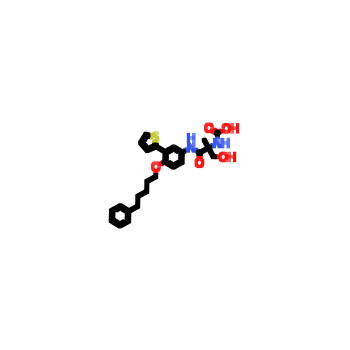 CC(CO)(NC(=O)O)C(=O)Nc1ccc(OCCCCCc2ccccc2)c(-c2cccs2)c1